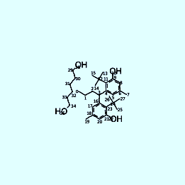 CCCC(c1cc(C)cc(O)c1C(C)(C)C)c1cc(C)cc(O)c1C(C)(C)C.OCCCCCCO